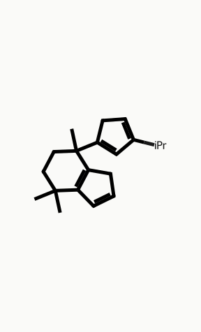 CC(C)C1=CCC(C2(C)CCC(C)(C)C3=C2CC=C3)=C1